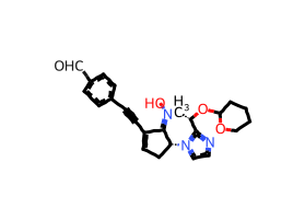 C[C@H](OC1CCCCO1)c1nccn1[C@@H]1CC=C(C#Cc2ccc(C=O)cc2)/C1=N\O